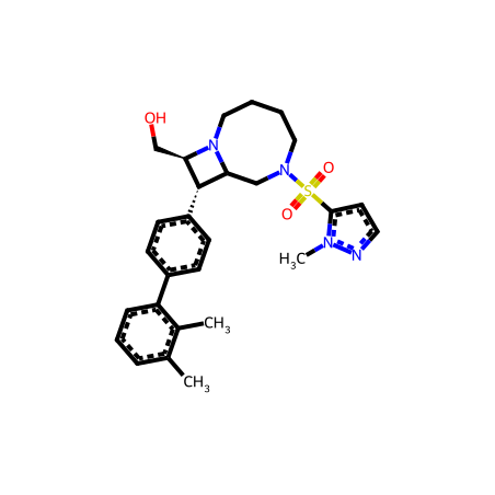 Cc1cccc(-c2ccc([C@H]3C4CN(S(=O)(=O)c5ccnn5C)CCCCN4[C@@H]3CO)cc2)c1C